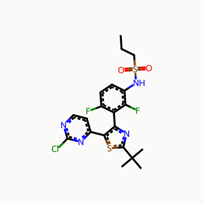 CCCS(=O)(=O)Nc1ccc(F)c(-c2nc(C(C)(C)C)sc2-c2ccnc(Cl)n2)c1F